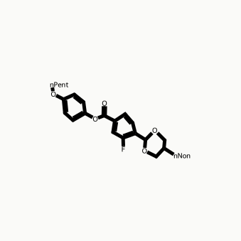 CCCCCCCCCC1COC(c2ccc(C(=O)Oc3ccc(OCCCCC)cc3)cc2F)OC1